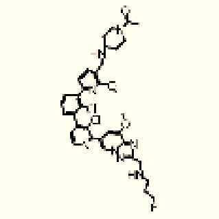 COc1nc(-c2cccc(-c3ccnc(-c4cc(OC)c5nc(CNCCCF)nn5c4)c3Cl)c2Cl)ccc1CNC1CCN(C(C)=O)CC1